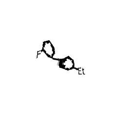 [CH2]Cc1ccc(-c2cccc(F)c2)cc1